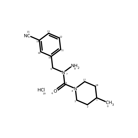 CC1CCN(C(=O)N(N)Cc2cccc(C#N)c2)CC1.Cl